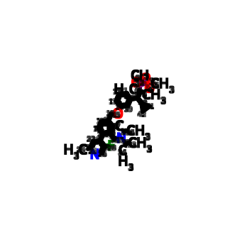 COP(=O)(OC)C(C)(C)C(c1cccc(OCc2ccc(-c3cc(C)ncc3F)c(CN(C(C)C)C(C)C)c2)c1)C1CC1